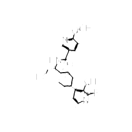 CC[C@H](NC(=O)c1ccc(OC)nc1)[C@H]1CC[C@H](c2ccnc(F)c2C)CC1